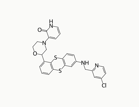 O=c1[nH]cccc1N1CCOC(c2cccc3c2Sc2ccc(NCc4cc(Cl)ccn4)cc2S3)C1